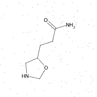 NC(=O)CCC1CNCO1